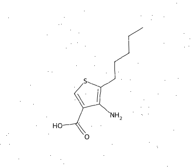 CCCCCc1scc(C(=O)O)c1N